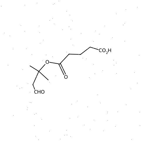 CC(C)(CC=O)OC(=O)CCCC(=O)O